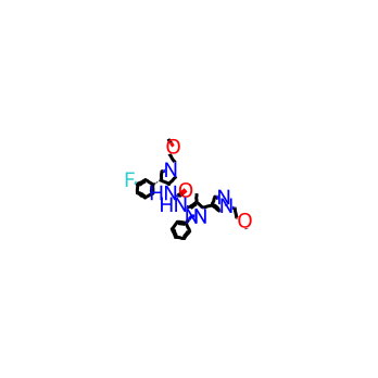 COCCN1C[C@@H](NC(=O)Nc2c(C)c(-c3cnn(CCOC)c3)nn2-c2ccccc2)[C@H](c2cccc(F)c2)C1